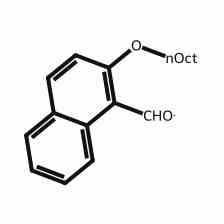 CCCCCCCCOc1ccc2ccccc2c1[C]=O